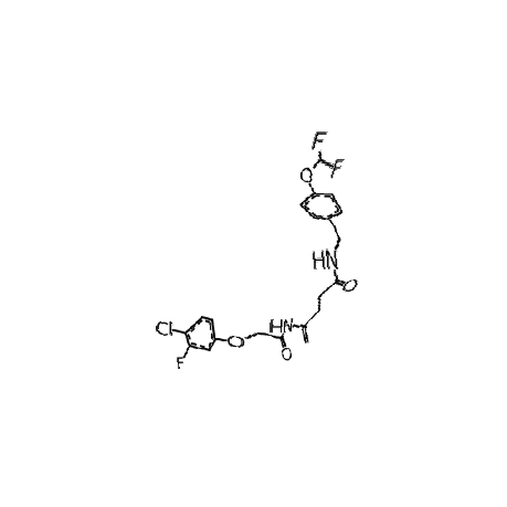 C=C(CCC(=O)NCc1ccc(OC(F)F)cc1)NC(=O)COc1ccc(Cl)c(F)c1